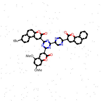 COc1cc(OC)c2cc(-c3nc(-c4cnc(-c5cc6ccc7ccccc7c6oc5=O)cn4)nc(-c4cc5c(ccc6cc(C(C)(C)C)ccc65)oc4=O)n3)c(=O)oc2c1